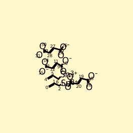 C=C[CH2][Sn+3].C=C[CH2][Sn+3].O=C([O-])C=CC(=O)[O-].O=C([O-])C=CC(=O)[O-].O=C([O-])C=CC(=O)[O-]